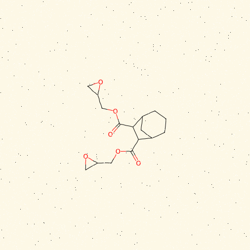 O=C(OCC1CO1)C1C2CCCC(C2)C1C(=O)OCC1CO1